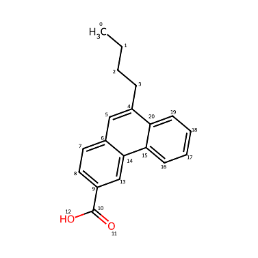 CCCCc1cc2ccc(C(=O)O)cc2c2ccccc12